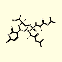 CC(C)OC(=O)[C@H](C)NP(=S)(N[C@@H](C)C(=O)OC(C)C)OC[C@@](F)(O[C@H](CF)n1ccc(=O)[nH]c1=O)[C@H](C)O